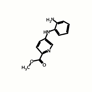 COC(=O)c1ccc(Nc2ccccc2N)cn1